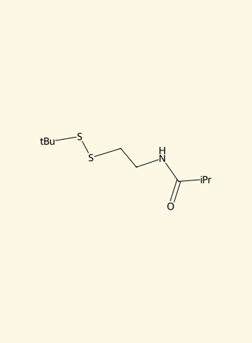 CC(C)C(=O)NCCSSC(C)(C)C